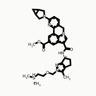 COC(=O)c1cc2c3c(c1)c(C(=O)N[C@@H]1CCc4c1nn(COCC[SiH](C)C)c4C)cn3Cc1ccc(N3CC4CC4C3)nc1-2